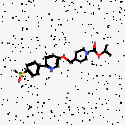 CC(C)OC(=O)N1CCC(COc2ccc(-c3ccc([S@@+](C)[O-])cc3)nc2)CC1